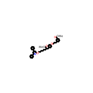 COC(=O)c1cccc(CCCOc2ccc(CC(CCCCCCOc3cc(-c4ccccc4)cc(-c4ccccc4)n3)C(=O)OC)cc2)c1